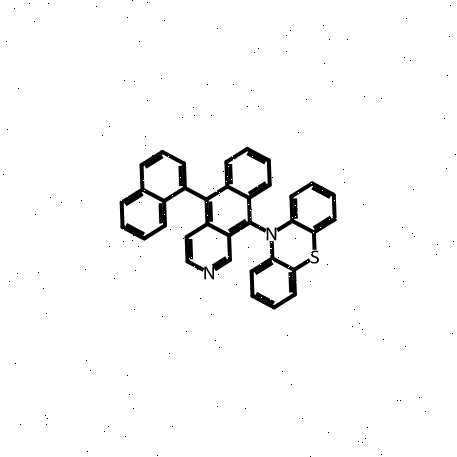 c1ccc2c(c1)Sc1ccccc1N2c1c2ccccc2c(-c2cccc3ccccc23)c2ccncc12